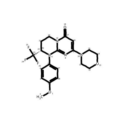 COc1ccc(N2c3nc(N4CCOCC4)cc(=O)n3CC[C@H]2C(F)(F)F)cc1